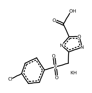 O=C(O)c1nc(CS(=O)(=O)c2ccc(Cl)cc2)no1.[KH]